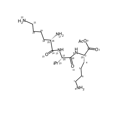 CC(=O)OC(=O)[C@H](CCCCN)NC(=O)[C@@H](NC(=O)[C@@H](N)CCCCN)C(C)C